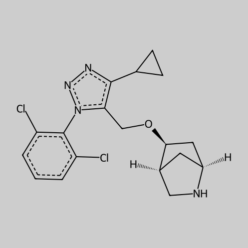 Clc1cccc(Cl)c1-n1nnc(C2CC2)c1CO[C@H]1C[C@@H]2C[C@H]1CN2